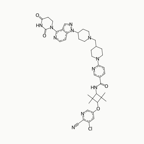 CC1(C)C(NC(=O)c2ccc(N3CCC(CN4CCC(n5ncc6c(N7CCC(=O)NC7=O)nccc65)CC4)CC3)nc2)C(C)(C)C1Oc1cnc(C#N)c(Cl)c1